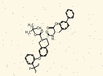 CC(C)(C)OC(=O)N1Cc2cc(Oc3ccccc3C(F)(F)F)ccc2C[C@H]1C(=O)N[C@@H](Cc1ccc(-c2ccccc2)cc1)C(=O)O